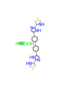 Cl.Cl.Cl.Cl.c1cc(-c2cnc(C3CSCN3)[nH]2)ccc1-c1ccc(-c2cnc(C3CSCN3)[nH]2)cc1